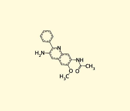 COc1cc2cc(N)c(-c3ccccc3)nc2cc1NC(C)=O